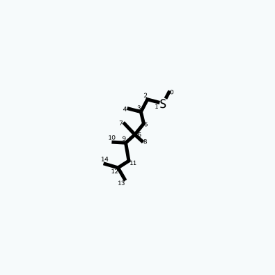 CSCC(C)CC(C)(C)C(C)CC(C)C